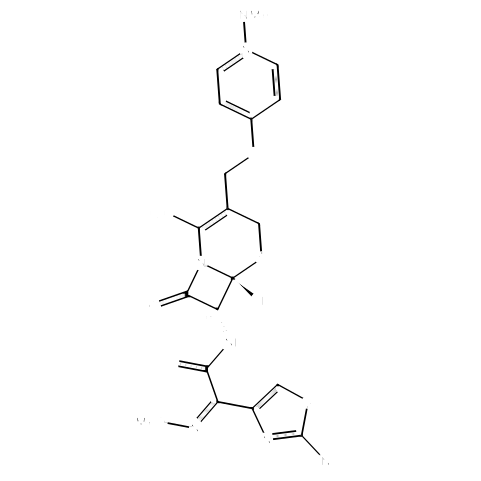 CN[n+]1ccc(SCC2=C(C(=O)[O-])N3C(=O)[C@@H](NC(=O)/C(=N\OC)c4csc(N)n4)[C@H]3SC2)cc1